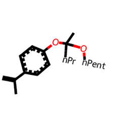 C=C(C)c1ccc(OC(C)(CCC)OCCCCC)cc1